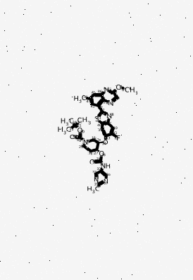 COc1cnc2c(-c3nc4cc(F)c(O[C@@H]5CN(C(=O)OC(C)(C)C)CC[C@@H]5OC(=O)Nc5cnc(C)nc5)cc4s3)cc(C)cc2n1